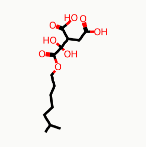 CC(C)CCCCCOC(=O)C(O)(O)C(CC(=O)O)C(=O)O